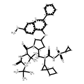 COc1ccc2c(OC3CC(C(=O)N(C(=O)NS(=O)(=O)C4CC4)C4CC45CCC5)N(C(=O)C(NC(=O)OC(C)(C)C)C(C)(C)C)C3)cc(-c3ccccc3)nc2c1